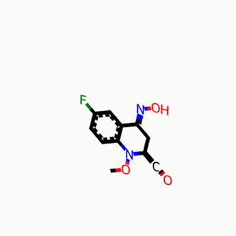 CON1C(=C=O)CC(=NO)c2cc(F)ccc21